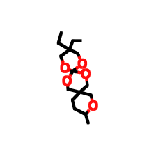 CCC1(CC)COC2(OC1)OCC1(CCC(C)OC1)CO2